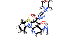 CN(C)c1ccnc2c1c(=O)c(C(=O)NCCN1CCOCC1)c1sc3ccccc3n12